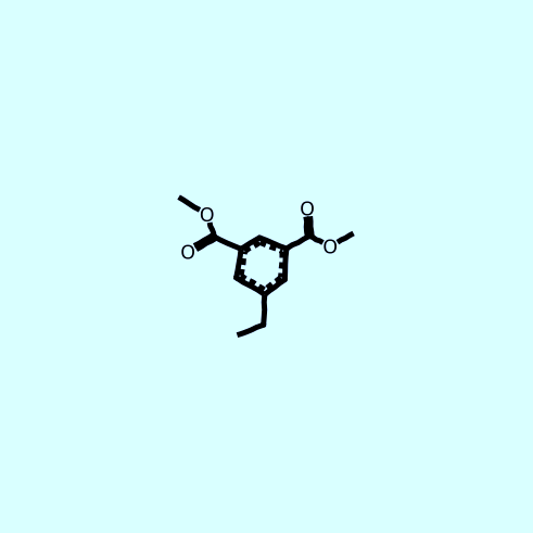 CCc1cc(C(=O)OC)cc(C(=O)OC)c1